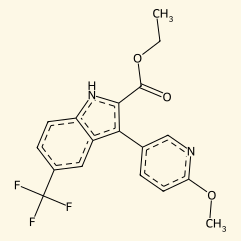 CCOC(=O)c1[nH]c2ccc(C(F)(F)F)cc2c1-c1ccc(OC)nc1